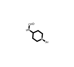 CC(=O)N1CCC(N[C]=O)CC1